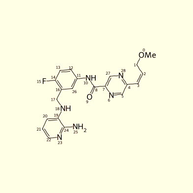 COC/C=C\c1cnc(C(=O)Nc2ccc(F)c(CNc3cccnc3N)c2)cn1